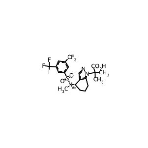 CN([C@@H]1CCCc2c1cnn2C(C)(C)C(=O)O)S(=O)(=O)c1cc(C(F)(F)F)cc(C(F)(F)I)c1